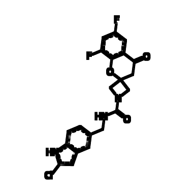 O=C1CC2(CN(C(=O)NCc3ccc4[nH]c(Cl)cc4c3)C2)Oc2c(F)cc(F)cc21